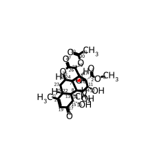 COC(=O)[C@@]12OC[C@]34[C@H]([C@@H](O)[C@@H]1O)[C@@]1(C)[C@H](O)C(=O)C=C(C)[C@@H]1C[C@H]3OC(=O)[C@H](OC(C)=O)[C@@H]24